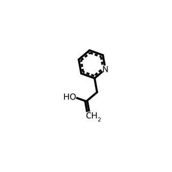 C=C(O)Cc1ccccn1